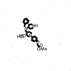 COC(=O)COc1ccc(N2CCC(CN(Cc3ccccc3)C3CCNCC3)CC2)cc1.Cl.Cl